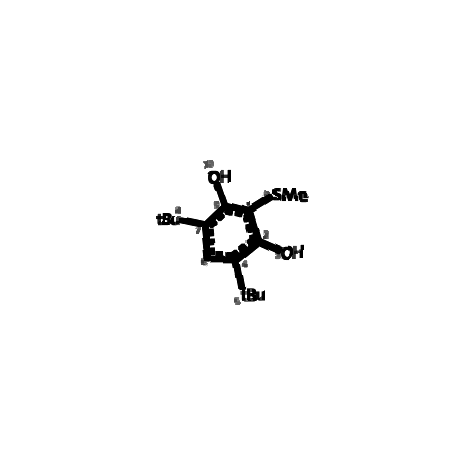 CSc1c(O)c(C(C)(C)C)cc(C(C)(C)C)c1O